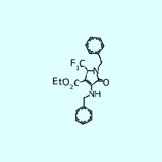 CCOC(=O)C1=C(NCc2ccccc2)C(=O)N(Cc2ccccc2)C1C(F)(F)F